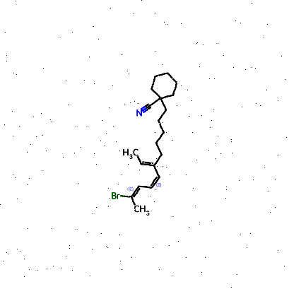 CC=C(/C=C\C=C(/C)Br)CCCCCC1(C#N)CCCCC1